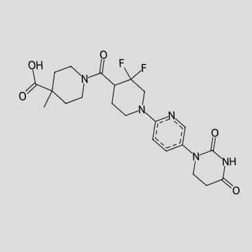 CC1(C(=O)O)CCN(C(=O)C2CCN(c3ccc(N4CCC(=O)NC4=O)cn3)CC2(F)F)CC1